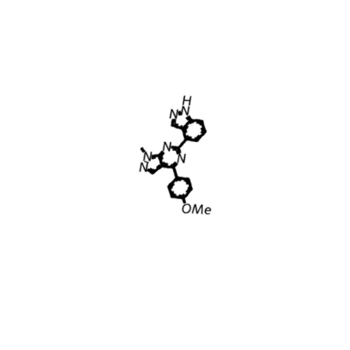 COc1ccc(-c2nc(-c3cccc4[nH]ncc34)nc3c2cnn3C)cc1